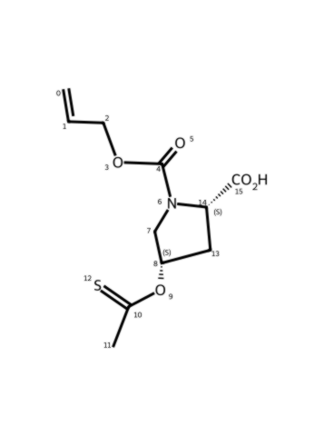 C=CCOC(=O)N1C[C@@H](OC(C)=S)C[C@H]1C(=O)O